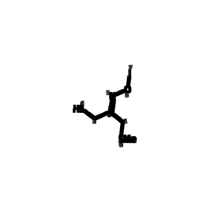 CSC/C(CS)=N\OI